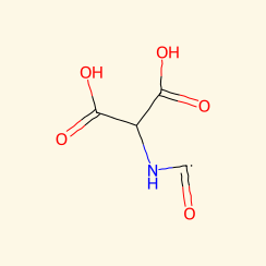 O=[C]NC(C(=O)O)C(=O)O